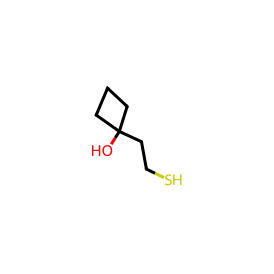 OC1(CCS)CCC1